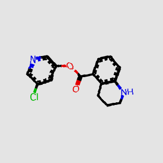 O=C(Oc1cncc(Cl)c1)c1cccc2c1CCCN2